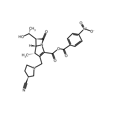 C[C@@H](O)[C@H]1C(=O)N2C(C(=O)OC(=O)c3ccc([N+](=O)[O-])cc3)=C(CN3CC[C@H](C#N)C3)[C@H](C)[C@H]12